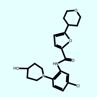 O=C(Nc1cc(Cl)ccc1N1CCC(O)CC1)c1ccc(C2CCOCC2)o1